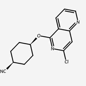 N#C[C@H]1CC[C@@H](Oc2nc(Cl)cc3ncccc23)CC1